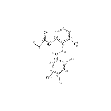 CCC(=O)Oc1cccc(Cl)c1COc1cc(Cl)c(C)cc1F